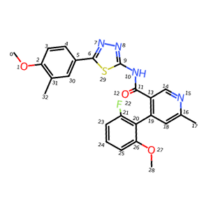 COc1ccc(-c2nnc(NC(=O)c3cnc(C)cc3-c3c(F)cccc3OC)s2)cc1C